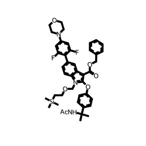 CC(=O)NC(C)(C)c1ccc(Oc2c(C(=O)OCc3ccccc3)c3cc(-c4c(F)cc(N5CCOCC5)cc4F)ccc3n2COCC[Si](C)(C)C)cc1